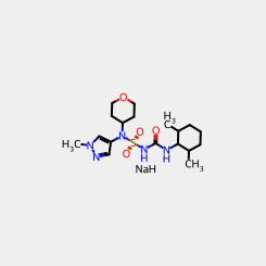 CC1CCCC(C)C1NC(=O)NS(=O)(=O)N(c1cnn(C)c1)C1CCOCC1.[NaH]